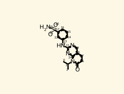 CC(C)n1c(=O)ccc2cnc(Nc3cccc(S(N)(=O)=O)c3)nc21